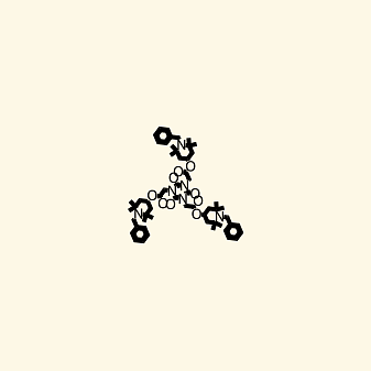 CC1(C)CC(OC(=O)Cn2c(=O)n(CC(=O)OC3CC(C)(C)N(Cc4ccccc4)C(C)(C)C3)c(=O)n(CC(=O)OC3CC(C)(C)N(Cc4ccccc4)C(C)(C)C3)c2=O)CC(C)(C)N1Cc1ccccc1